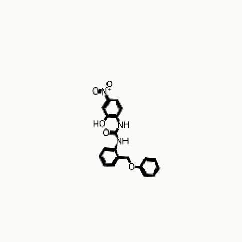 O=C(Nc1ccc([N+](=O)[O-])cc1O)Nc1ccccc1COc1ccccc1